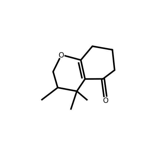 CC1COC2=C(C(=O)CCC2)C1(C)C